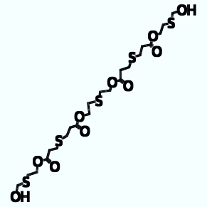 O=C(CCSCCC(=O)OCCSCCOC(=O)CCSCCC(=O)OCCSCO)OCCSCO